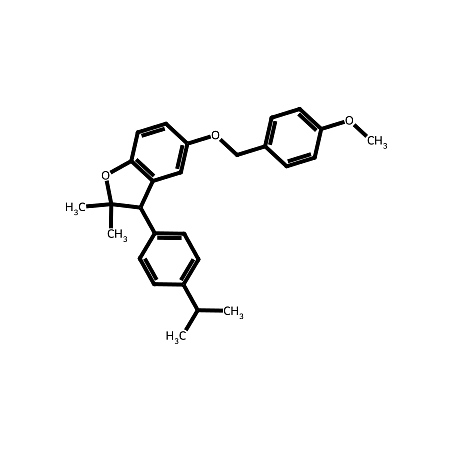 COc1ccc(COc2ccc3c(c2)C(c2ccc(C(C)C)cc2)C(C)(C)O3)cc1